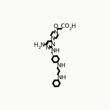 Nc1cc(N2CCN(C(=O)CC(=O)O)CC2)nc(NC[C@H]2CC[C@H](NCCCNC3CCCCC3)CC2)n1